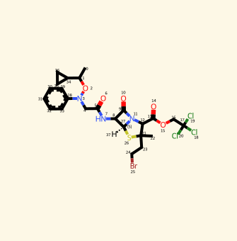 CC(ON(CC(=O)NC1C(=O)N2C(C(=O)OCC(Cl)(Cl)Cl)C(C)(CCBr)S[C@@H]12)c1ccccc1)C1CC1